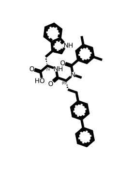 Cc1cc(C)cc(C(=O)N(C)[C@H](CCc2ccc(-c3ccccc3)cc2)C(=O)N[C@@H](Cc2c[nH]c3ccccc23)C(=O)O)c1